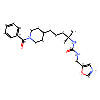 [2H]C([2H])(CCCC1CCN(C(=O)c2ccccc2)CC1)NC(=O)NCc1cnco1